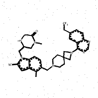 Cc1c(CN2CCC3(CC2)CN(c2ncnc4ccc(CC(F)(F)F)cc24)C3)ccc2c1cc(C#N)n2CC1CN(C)C(=O)CN1